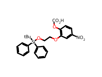 CC(C)(C)[Si](OCCOc1cc([N+](=O)[O-])ccc1OC(=O)O)(c1ccccc1)c1ccccc1